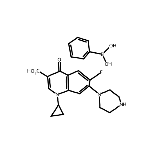 O=C(O)c1cn(C2CC2)c2cc(N3CCNCC3)c(F)cc2c1=O.OB(O)c1ccccc1